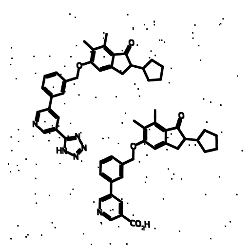 Cc1c(OCc2cccc(-c3cncc(-c4nnn[nH]4)c3)c2)cc2c(c1C)C(=O)C(C1CCCC1)C2.Cc1c(OCc2cccc(-c3cncc(C(=O)O)c3)c2)cc2c(c1C)C(=O)C(C1CCCC1)C2